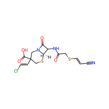 N#CC=CSCC(=O)NC1C(=O)N2CC(C=CCl)(C(=O)O)CS[C@H]12